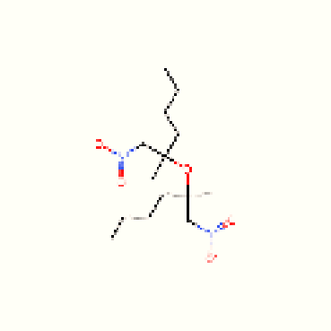 CCCCC(C)(C[N+](=O)[O-])OC(C)(CCCC)C[N+](=O)[O-]